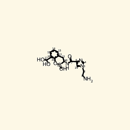 NCCn1cnc(C(=O)N[C@H]2Cc3cccc(C(O)O)c3OB2O)c1